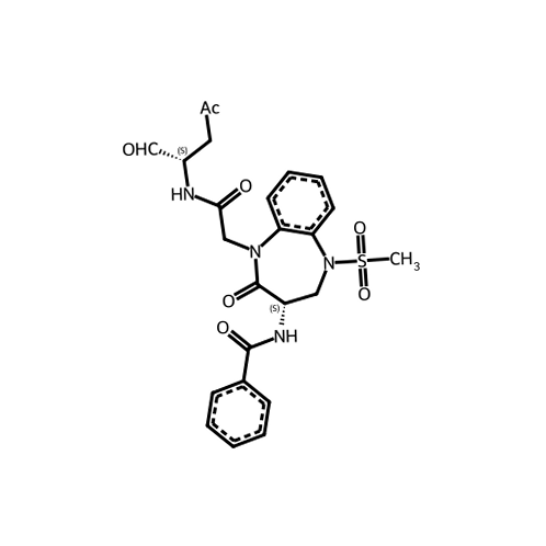 CC(=O)C[C@@H](C=O)NC(=O)CN1C(=O)[C@@H](NC(=O)c2ccccc2)CN(S(C)(=O)=O)c2ccccc21